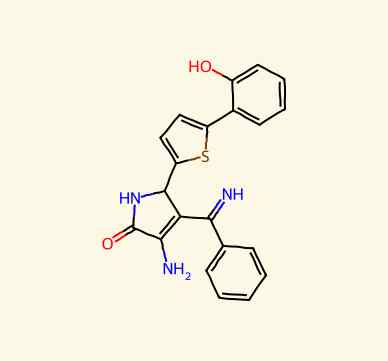 N=C(C1=C(N)C(=O)NC1c1ccc(-c2ccccc2O)s1)c1ccccc1